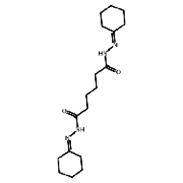 O=C(CCCCC(=O)NN=C1CCCCC1)NN=C1CCCCC1